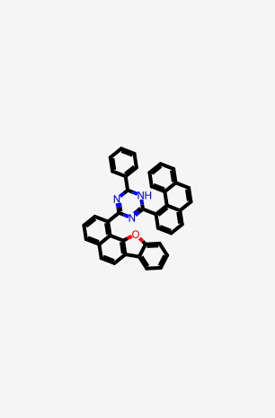 c1ccc(C2N=C(c3cccc4ccc5c6ccccc6oc5c34)N=C(c3cccc4ccc5ccccc5c34)N2)cc1